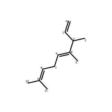 C=CC(C)/C(C)=C/CC=C(C)C